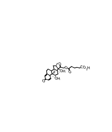 C[C@@H]1CC2C3CCC4=CC(=O)C=C[C@]4(C)[C@@]3(F)[C@@H](O)C[C@]2(C)[C@@]1(O)C(=O)COC(=O)CCCCC(=O)O